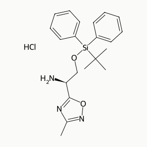 Cc1noc([C@@H](N)CO[Si](c2ccccc2)(c2ccccc2)C(C)(C)C)n1.Cl